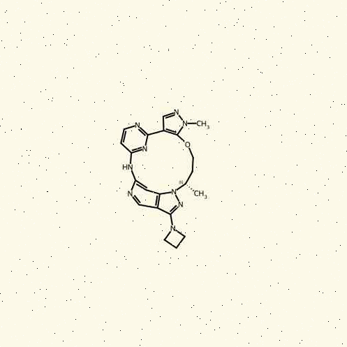 C[C@H]1CCOc2c(cnn2C)-c2nccc(n2)Nc2cc3c(cn2)c(N2CCC2)nn31